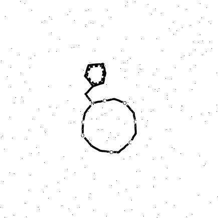 [c]1ccc(CN2CCOCCCCCOCCOCC2)cc1